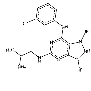 CC(N)CNc1nc(Nc2cccc(Cl)c2)c2c(n1)N(C(C)C)NN2C(C)C